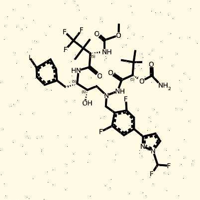 COC(=O)N[C@H](C(=O)N[C@@H](Cc1ccc(I)cc1)[C@@H](O)CN(Cc1c(F)cc(-c2ccn(C(F)F)n2)cc1F)NC(=O)[C@@H](OC(N)=O)C(C)(C)C)C(C)(C)C(F)(F)F